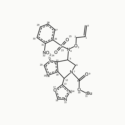 C=CCON(C1CN(C(=O)OC(C)(C)C)C(c2nnco2)c2ncsc21)S(=O)(=O)c1ccccc1[N+](=O)[O-]